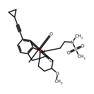 COC1CCC2(CC1)Cc1ccc(C#CC3CC3)cc1C21NC(=O)N(CCN(C)S(C)(=O)=O)C1=O